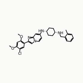 COc1cc(OC)c(-c2cn3ccc(N[C@H]4CC[C@@H](NCc5ccccc5C)CC4)cc3n2)cc1Cl